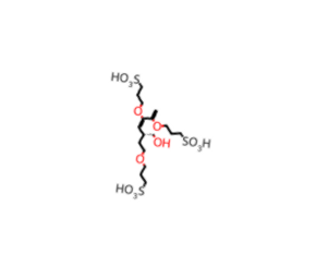 C=C(OCCCS(=O)(=O)O)/C(=C\[C@H](CO)CCOCCCS(=O)(=O)O)OCCCS(=O)(=O)O